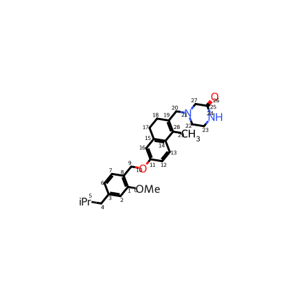 COc1cc(CC(C)C)ccc1COc1ccc2c(c1)CCC(CN1CCNC(=O)C1)=C2C